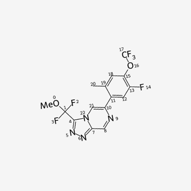 COC(F)(F)c1nnc2cnc(-c3cc(F)c(OC(F)(F)F)cc3C)cn12